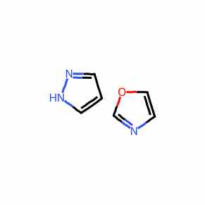 c1cn[nH]c1.c1cocn1